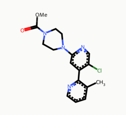 COC(=O)N1CCN(c2cc(-c3ncccc3C)c(Cl)cn2)CC1